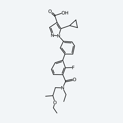 CCOC(C)CN(CC)C(=O)c1cccc(-c2cccc(-n3ncc(C(=O)O)c3C3CC3)c2)c1F